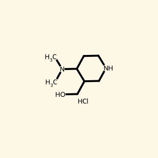 CN(C)C1CCNCC1CO.Cl